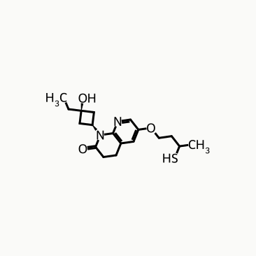 CC[C@]1(O)C[C@@H](N2C(=O)CCc3cc(OCCC(C)S)cnc32)C1